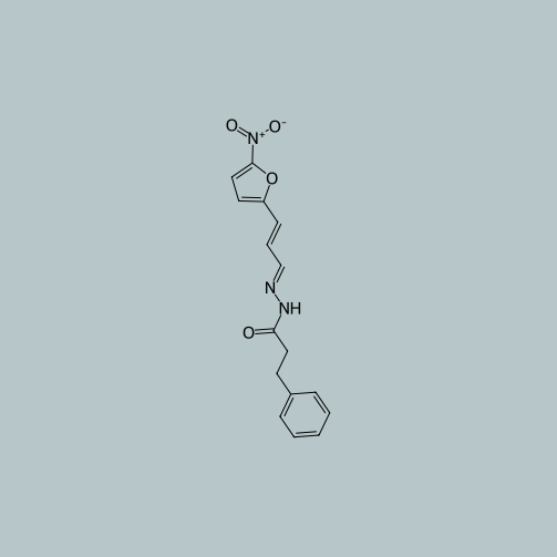 O=C(CCc1ccccc1)N/N=C/C=C/c1ccc([N+](=O)[O-])o1